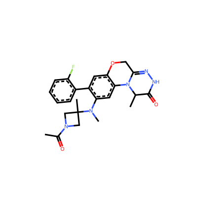 CC(=O)N1CC(C)(N(C)c2cc3c(cc2-c2ccccc2F)OCC2=NNC(=O)C(C)N23)C1